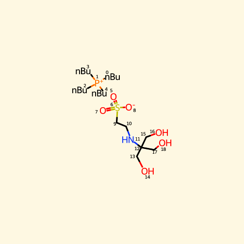 CCCC[P+](CCCC)(CCCC)CCCC.O=S(=O)([O-])CCNC(CO)(CO)CO